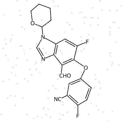 N#Cc1cc(Oc2c(F)cc3c(ncn3C3CCCCO3)c2C=O)ccc1F